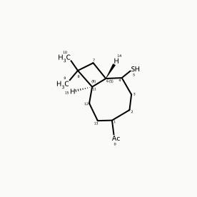 CC(=O)C1CCC(S)[C@H]2CC(C)(C)[C@@H]2CC1